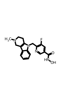 CN1CCc2c(c3ccccc3n2Cc2ncc(C(=O)NO)cc2F)C1